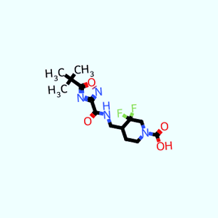 CC(C)(C)c1nc(C(=O)NCC2CCN(C(=O)O)CC2(F)F)no1